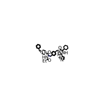 CCC(=O)N/C(=C/c1ccc(CNC(=O)[C@@H](NC(=O)c2ccnn2C)C2CCCCC2)cc1)C(=O)N1CCN(Cc2ccccc2)CC1